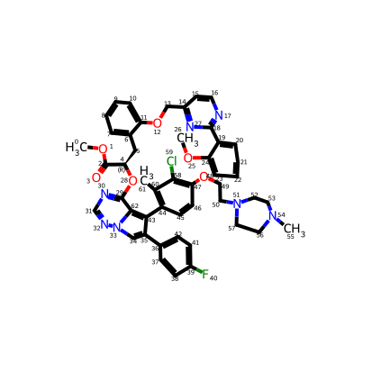 COC(=O)[C@@H](Cc1ccccc1OCc1ccnc(-c2ccccc2OC)n1)Oc1ncnn2cc(-c3ccc(F)cc3)c(-c3ccc(OCCN4CCN(C)CC4)c(Cl)c3C)c12